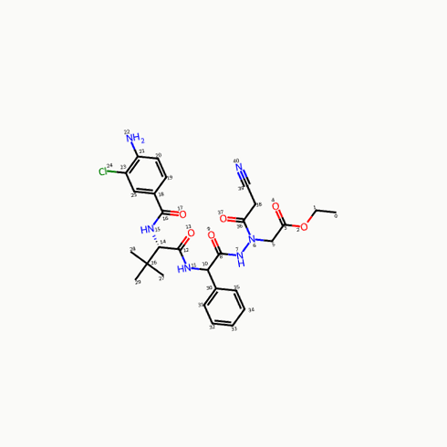 CCOC(=O)CN(NC(=O)C(NC(=O)[C@@H](NC(=O)c1ccc(N)c(Cl)c1)C(C)(C)C)c1ccccc1)C(=O)CC#N